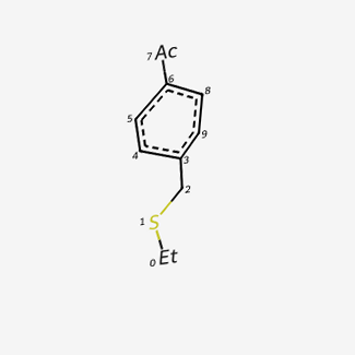 CCSCc1ccc(C(C)=O)cc1